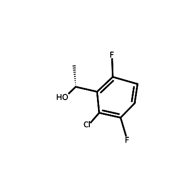 C[C@@H](O)c1c(F)ccc(F)c1Cl